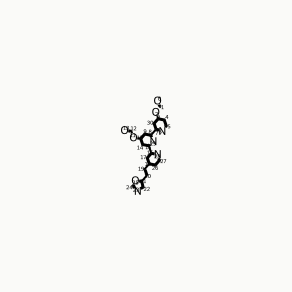 O=COc1ccnc(-c2cc(OC=O)cc(-c3cc(/C=C/c4cnco4)ccn3)n2)c1